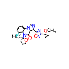 COC1(c2noc(C3N=CN4c5cccc(F)c5N(C5(C)CCCO5)C(=O)C34)n2)CC1